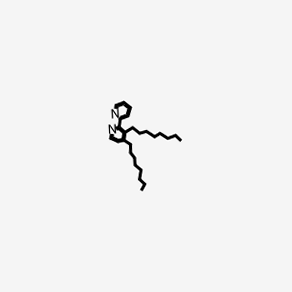 CCCCCCCCc1ccnc(-c2ccccn2)c1CCCCCCCC